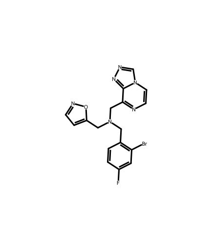 Fc1ccc(CN(Cc2ccno2)Cc2nccn3cnnc23)c(Br)c1